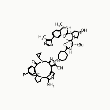 Cc1ncsc1-c1ccc([C@H](C)NC(=O)[C@@H]2C[C@@H](O)CN2C(=O)[C@@H](NC(=O)C2CCC[C@@H](n3nc4c(c3C#N)-c3cnc(N)c(c3)N3CCC[C@@H]3c3cc(F)ccc3C(=O)N(C3CC3)C4)CC2)C(C)(C)C)cc1